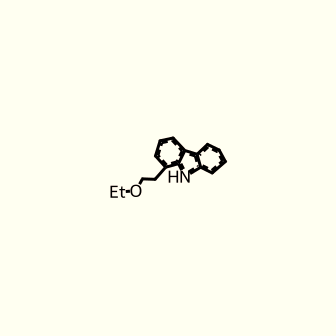 [CH2]COCCc1cccc2c1[nH]c1ccccc12